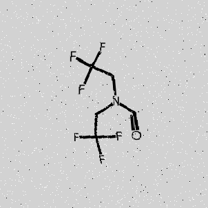 O=[C]N(CC(F)(F)F)CC(F)(F)F